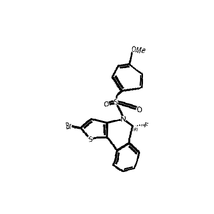 COc1ccc(S(=O)(=O)N2c3cc(Br)sc3-c3ccccc3[C@H]2F)cc1